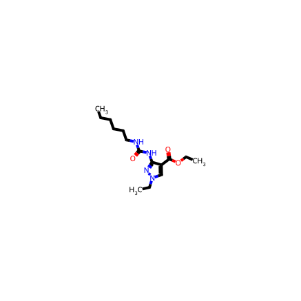 CCCCCCNC(=O)Nc1nn(CC)cc1C(=O)OCC